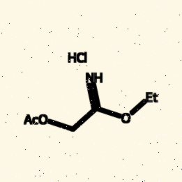 CCOC(=N)COC(C)=O.Cl